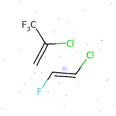 C=C(Cl)C(F)(F)F.F/C=C/Cl